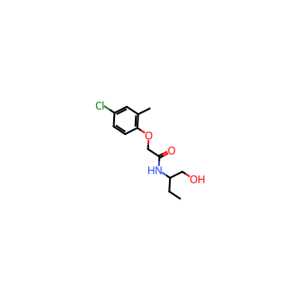 CCC(CO)NC(=O)COc1ccc(Cl)cc1C